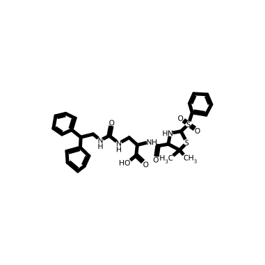 CC1(C)SC(S(=O)(=O)c2ccccc2)NC1C(=O)NC(CNC(=O)NCC(c1ccccc1)c1ccccc1)C(=O)O